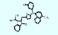 Cc1ccc(N(c2cccc(Cl)c2)c2ccc(/C=C3\C(=O)c4ccccc4C3=C(C#N)C#N)s2)c2ccccc12